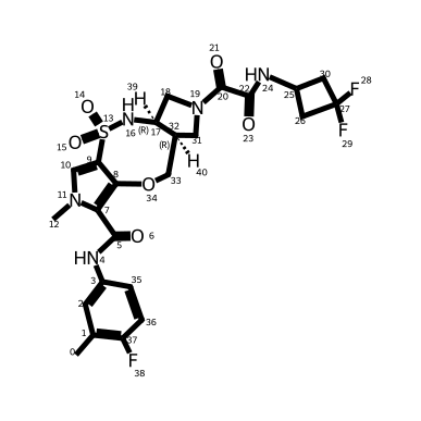 Cc1cc(NC(=O)c2c3c(cn2C)S(=O)(=O)N[C@H]2CN(C(=O)C(=O)NC4CC(F)(F)C4)C[C@H]2CO3)ccc1F